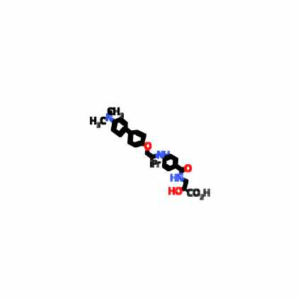 CC(C)[C@@H](COc1ccc(-c2ccc(N(C)C)cc2)cc1)Nc1ccc(C(=O)NC[C@@H](O)C(=O)O)cc1